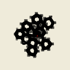 c1ccc2c(c1)Oc1c(cc(-c3ccccc3-c3ccc4c(c3)C3(CCCCC3)c3ccccc3-4)c3ccccc13)C21c2ccccc2-c2ccccc21